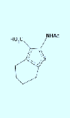 CC(=O)Nc1sc2c(c1C(=O)O)CCCC2